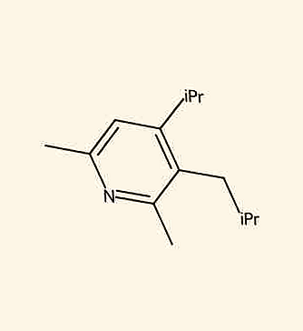 Cc1cc(C(C)C)c(CC(C)C)c(C)n1